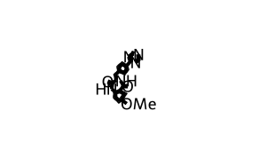 COc1ccc2c(c1)C(=O)NC(Cc1ccc(-c3ncncn3)cc1)C(=O)N2